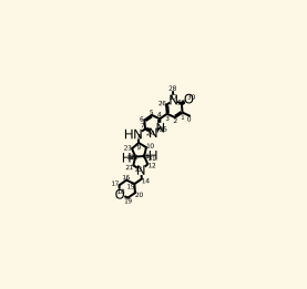 Cc1cc(-c2ccc(NC3C[C@@H]4CN(CC5CCOCC5)C[C@@H]4C3)nn2)cn(C)c1=O